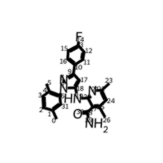 Cc1ccc(C)c(-n2nc(-c3ccc(F)cc3)cc2Nc2nc(C)cc(C)c2C(N)=O)c1